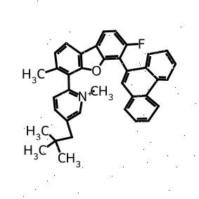 Cc1ccc2c(oc3c(-c4cc5ccccc5c5ccccc45)c(F)ccc32)c1-c1ccc(CC(C)(C)C)c[n+]1C